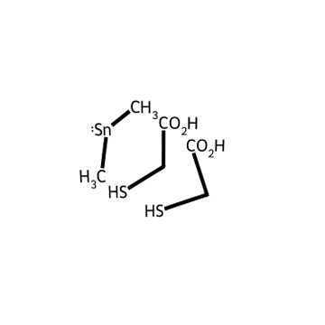 O=C(O)CS.O=C(O)CS.[CH3][Sn][CH3]